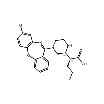 CCC[C@H](C(=O)O)[C@H]1CN(C2=Nc3cc(Cl)ccc3Oc3ccccc32)CCN1